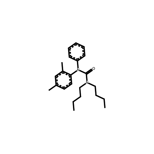 CCCCN(CCCC)C(=O)N(c1ccccc1)c1ccc(C)cc1C